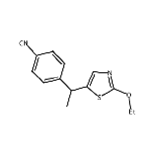 [C-]#[N+]c1ccc(C(C)c2cnc(OCC)s2)cc1